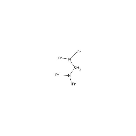 CC(C)N([SiH2]N(C(C)C)C(C)C)C(C)C